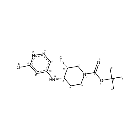 CC(C)(C)OC(=O)N1CC[C@H](Nc2cnnc(Cl)c2)[C@H](F)C1